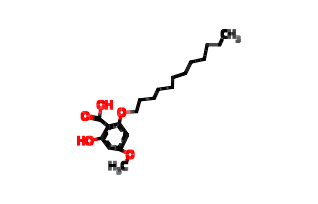 CCCCCCCCCCCCOc1cc(OC)cc(O)c1C(=O)O